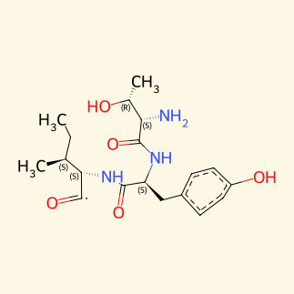 CC[C@H](C)[C@@H]([C]=O)NC(=O)[C@H](Cc1ccc(O)cc1)NC(=O)[C@@H](N)[C@@H](C)O